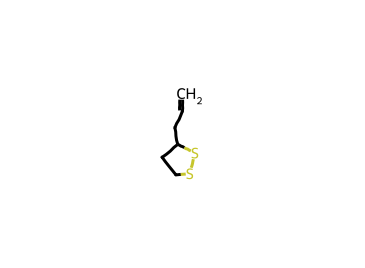 C=CCC1CCSS1